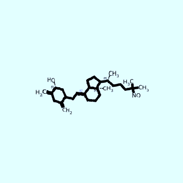 C=C1CC(=C)[C@H](O)CC1C/C=C1\CCC[C@@]2(C)C1CCC2[C@H](C)CCCC(C)(C)N=O